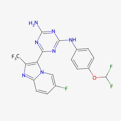 Nc1nc(Nc2ccc(OC(F)F)cc2)nc(-c2c(C(F)(F)F)nc3ccc(F)cn23)n1